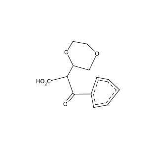 O=C(O)C(C(=O)c1ccccc1)C1COCCO1